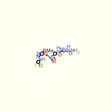 COc1cc2ncnc(Nc3ccc(F)c(Cl)c3)c2cc1OCCC[N+]1(Cc2ccc(NC(=O)[C@@H](N)CCCNC(N)=O)cc2)CCOCC1